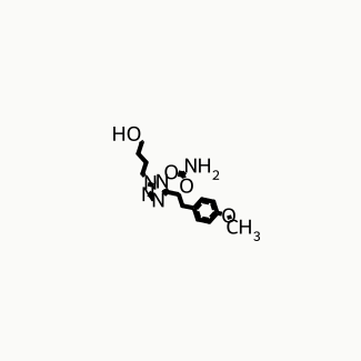 COc1ccc(CC(OC(N)=O)c2nnn(CCCCO)n2)cc1